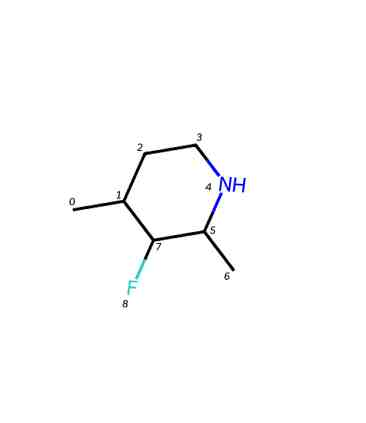 CC1CCNC(C)C1F